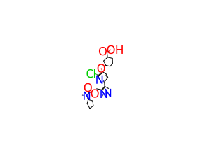 CN(C(=O)OCc1c(-c2ccc(O[C@H]3CCC[C@H](C(=O)O)C3)c(Cl)n2)cnn1C)C1CCCC1